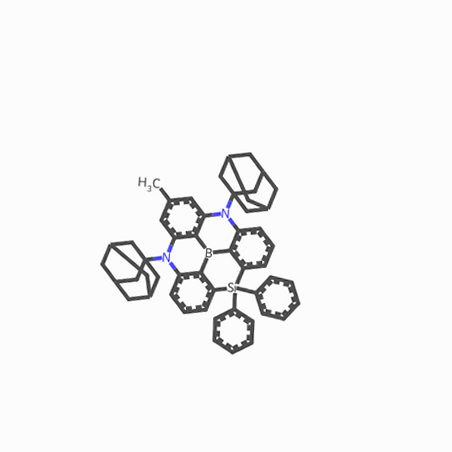 Cc1cc2c3c(c1)N(C14CC5CC(CC(C5)C1)C4)c1cccc4c1B3c1c(cccc1[Si]4(c1ccccc1)c1ccccc1)N2C12CC3CC(CC(C3)C1)C2